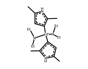 CC[N](CC)[Hf]([c]1cc(C)[nH]c1C)([c]1cc(C)[nH]c1C)[N](CC)CC